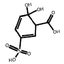 O=C(O)C1C=C(S(=O)(=O)O)C=CC1(O)O